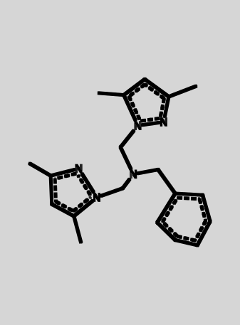 Cc1cc(C)n(CN(Cc2ccccc2)Cn2nc(C)cc2C)n1